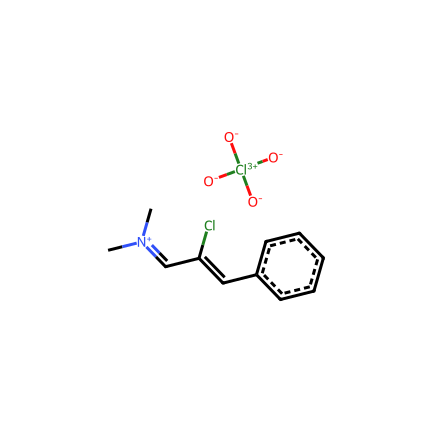 C[N+](C)=CC(Cl)=Cc1ccccc1.[O-][Cl+3]([O-])([O-])[O-]